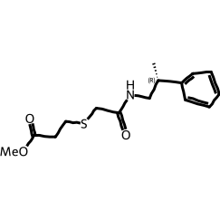 COC(=O)CCSCC(=O)NC[C@H](C)c1ccccc1